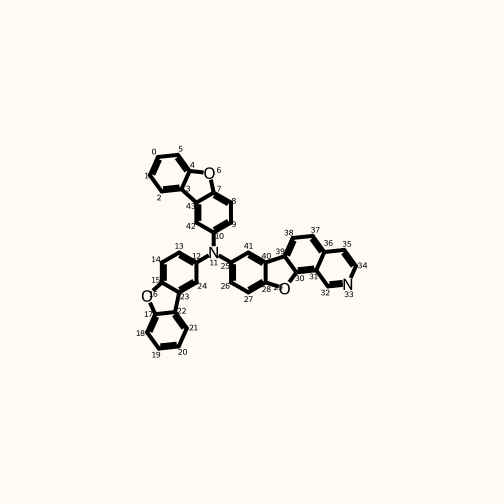 c1ccc2c(c1)oc1ccc(N(c3ccc4oc5ccccc5c4c3)c3ccc4oc5c6cnccc6ccc5c4c3)cc12